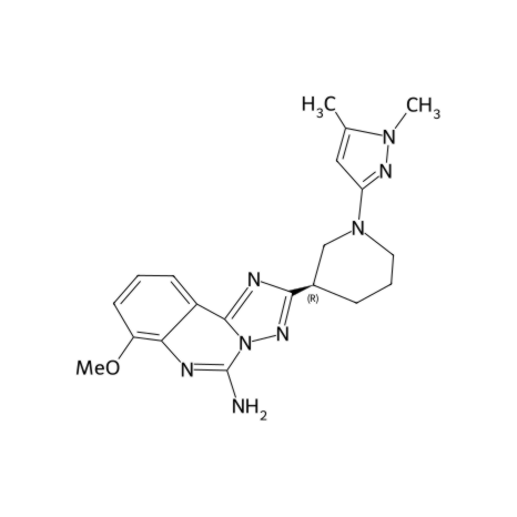 COc1cccc2c1nc(N)n1nc([C@@H]3CCCN(c4cc(C)n(C)n4)C3)nc21